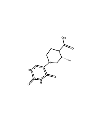 C[C@@H]1CN(c2c[nH]c(=O)[nH]c2=O)CCN1C(=O)O